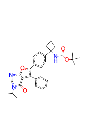 CC(C)n1cnc2oc(-c3ccc(C4(NC(=O)OC(C)(C)C)CCC4)cc3)c(-c3ccccc3)c2c1=O